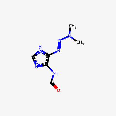 CN(C)N=Nc1[nH]cnc1NC=O